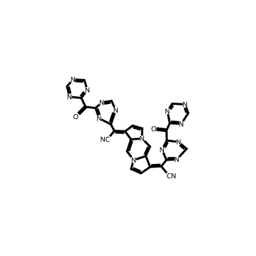 N#C/C(c1ncnc(C(=O)c2ncncn2)n1)=c1/ccn2cc3/c(=C(/C#N)c4ncnc(C(=O)c5ncncn5)n4)ccn3cc12